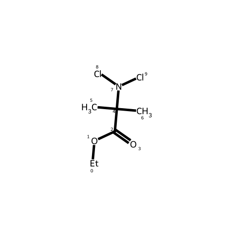 CCOC(=O)C(C)(C)N(Cl)Cl